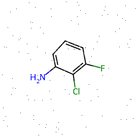 Nc1cc[c]c(F)c1Cl